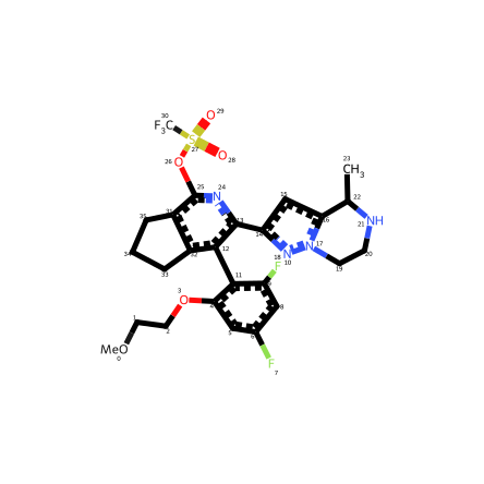 COCCOc1cc(F)cc(F)c1-c1c(-c2cc3n(n2)CCNC3C)nc(OS(=O)(=O)C(F)(F)F)c2c1CCC2